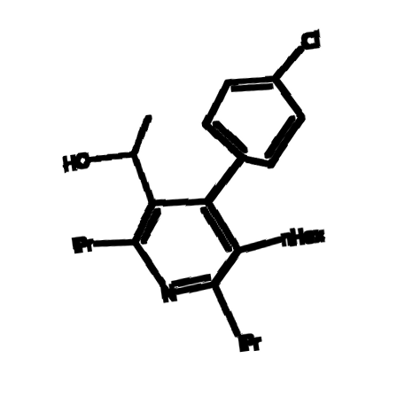 CCCCCCc1c(C(C)C)nc(C(C)C)c(C(C)O)c1-c1ccc(Cl)cc1